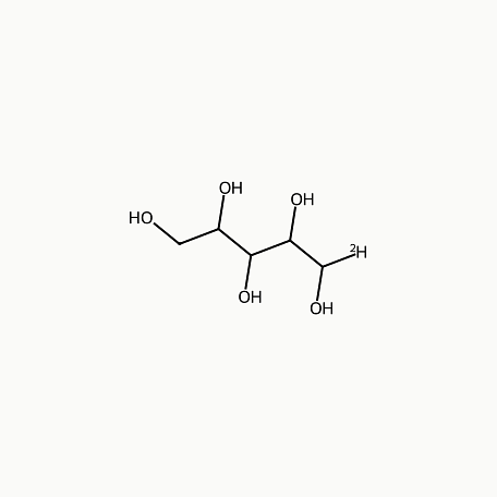 [2H]C(O)C(O)C(O)C(O)CO